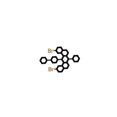 Brc1ccc2ccc3c(-c4ccccc4)c4ccc5ccc(Br)cc5c4c(-c4ccc(-c5ccccc5)cc4)c3c2c1